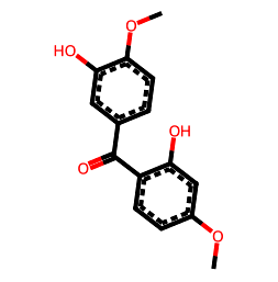 COc1ccc(C(=O)c2ccc(OC)c(O)c2)c(O)c1